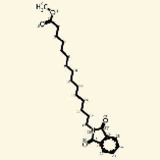 COC(=O)CCCCCCCCCCCCCCN1C(=O)c2ccccc2C1=O